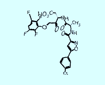 CCc1ccc(-c2cc(C(=O)N[C@@H](C)C(=O)N[C@@H](CC(=O)O)C(=O)COc3c(F)c(F)cc(F)c3F)no2)cc1